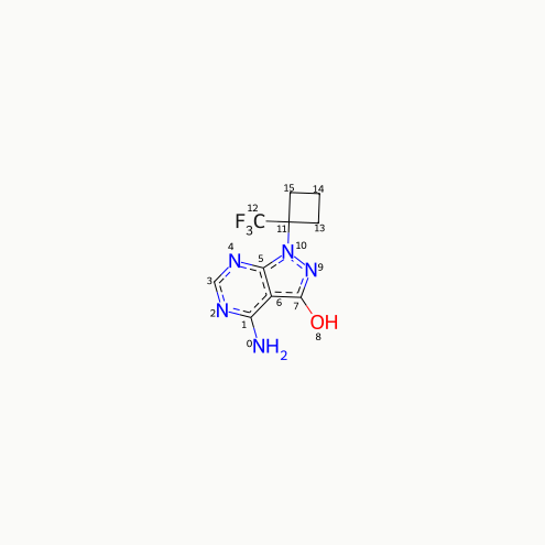 Nc1ncnc2c1c(O)nn2C1(C(F)(F)F)CCC1